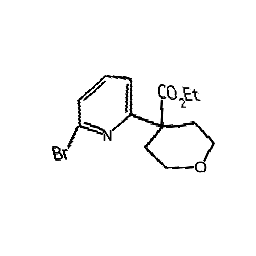 CCOC(=O)C1(c2cccc(Br)n2)CCOCC1